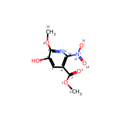 COC(=O)c1cc(O)c(OC)nc1[N+](=O)[O-]